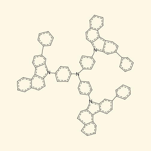 c1ccc(-c2ccc3c4c5ccccc5ccc4n(-c4ccc(N(c5ccc(-n6c7cc(-c8ccccc8)ccc7c7c8ccccc8ccc76)cc5)c5ccc(-n6c7cc(-c8ccccc8)ccc7c7c8ccccc8ccc76)cc5)cc4)c3c2)cc1